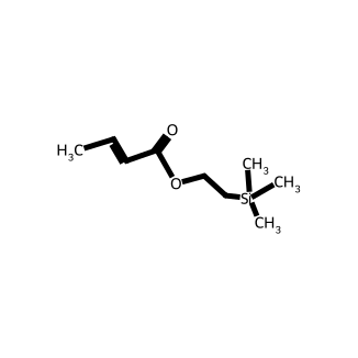 CC=CC(=O)OCC[Si](C)(C)C